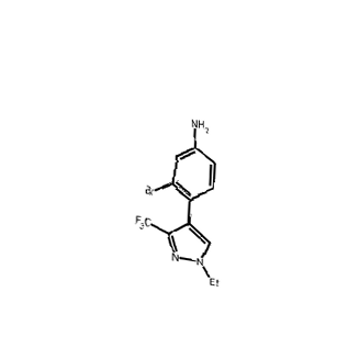 CCn1cc(-c2ccc(N)cc2Br)c(C(F)(F)F)n1